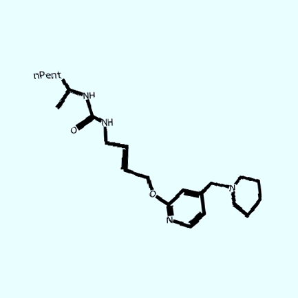 CCCCCC(C)NC(=O)NCC=CCOc1cc(CN2CCCCC2)ccn1